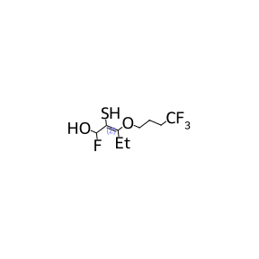 CC/C(OCCCC(F)(F)F)=C(/S)C(O)F